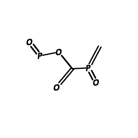 C=P(=O)C(=O)OP=O